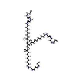 CC/C=C\C/C=C\C/C=C\CCCCCCCC(=O)OCC(COC(=O)CCCCCCC/C=C\C/C=C\C/C=C\CC)OC(=O)CCCCCCC/C=C\C/C=C\C/C=C\CC